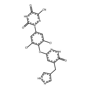 N#Cc1nn(-c2cc(Cl)c(Oc3cc(Cc4cn[nH]c4)c(=O)[nH]n3)c(Cl)c2)c(=O)[nH]c1=O